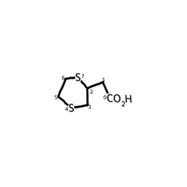 O=C(O)CC1CSCCS1